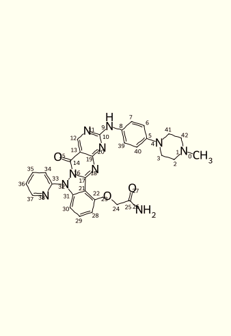 CN1CCN(c2ccc(Nc3ncc4c(=O)n5c(nc4n3)c3c(OCC(N)=O)cccc3n5-c3ccccn3)cc2)CC1